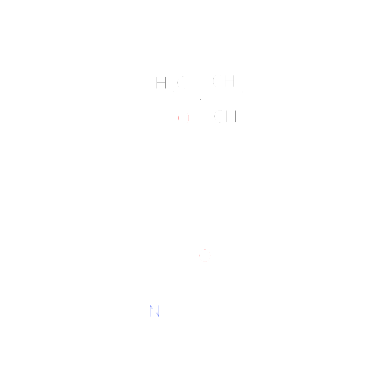 CC(C)(C)Oc1ccc(CCOc2ccncc2)cc1